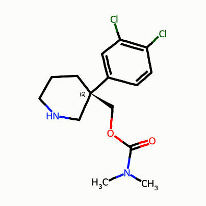 CN(C)C(=O)OC[C@]1(c2ccc(Cl)c(Cl)c2)CCCNC1